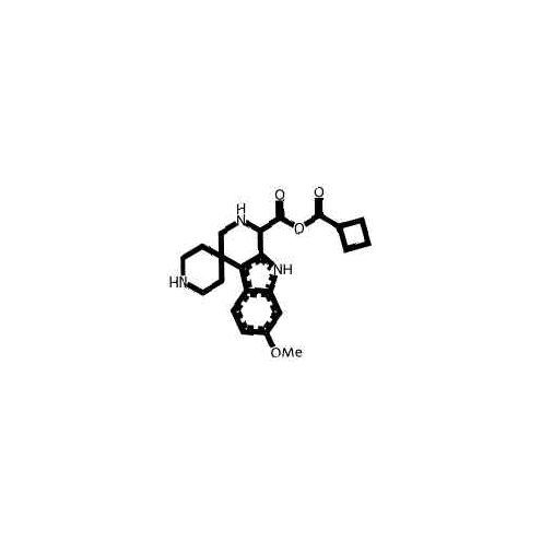 COc1ccc2c3c([nH]c2c1)C(C(=O)OC(=O)C1CCC1)NCC31CCNCC1